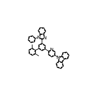 Cc1cccc(C)c1-c1cc(-c2ccc(-n3c4ccccc4c4ccccc43)cn2)cc(-c2nc3ccccc3n2-c2ccccc2)c1